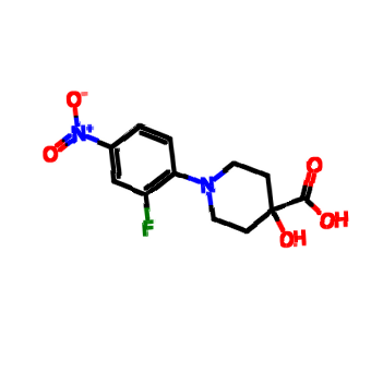 O=C(O)C1(O)CCN(c2ccc([N+](=O)[O-])cc2F)CC1